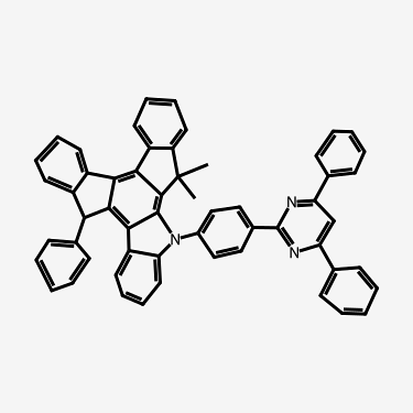 CC1(C)c2ccccc2-c2c3c(c4c5ccccc5n(-c5ccc(-c6nc(-c7ccccc7)cc(-c7ccccc7)n6)cc5)c4c21)C(c1ccccc1)c1ccccc1-3